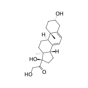 C[C@]12CC[C@@H]3C(=CC=C4C[C@@H](O)CC[C@]43C)[C@@H]1CC[C@]2(O)C(=O)CO